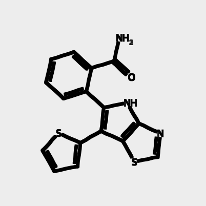 NC(=O)c1ccccc1-c1[nH]c2ncsc2c1-c1cccs1